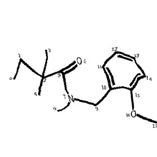 CCC(C)(C)C(=O)N(C)Cc1ccccc1OC